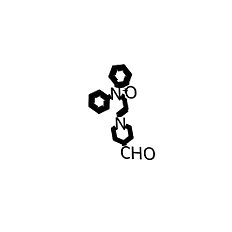 O=CC1CCN(C=Cc2oc3ccccc3[n+]2-c2ccccc2)CC1